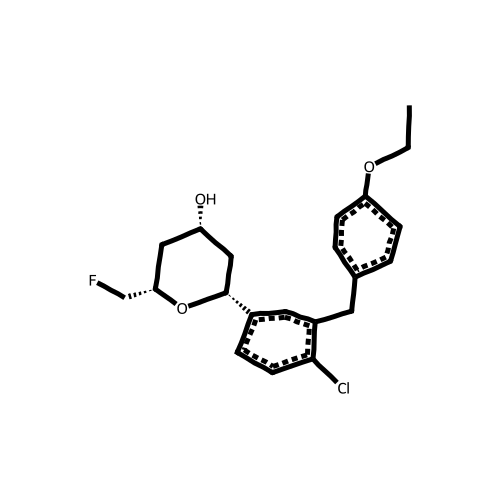 CCOc1ccc(Cc2cc([C@H]3C[C@@H](O)C[C@@H](CF)O3)ccc2Cl)cc1